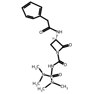 CN(C)P(=O)(NC(=O)N1C[C@H](NC(=O)Cc2ccccc2)C1=O)N(C)C